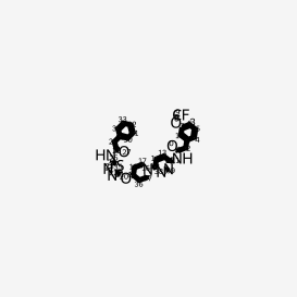 O=C(Cc1cccc(OC(F)(F)F)c1)Nc1ccc(N2CCC(Oc3nnc(NC(=O)Cc4ccccc4)s3)CC2)nn1